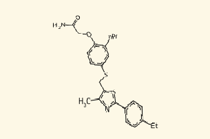 CCCc1cc(SCc2sc(-c3ccc(CC)cc3)nc2C)ccc1OCC(N)=O